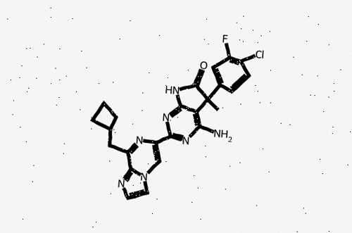 CC1(c2ccc(Cl)c(F)c2)C(=O)Nc2nc(-c3cn4ccnc4c(CC4CCC4)n3)nc(N)c21